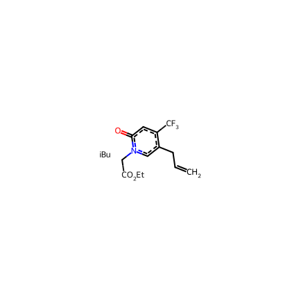 C=CCc1cn(C(C(=O)OCC)[C@H](C)CC)c(=O)cc1C(F)(F)F